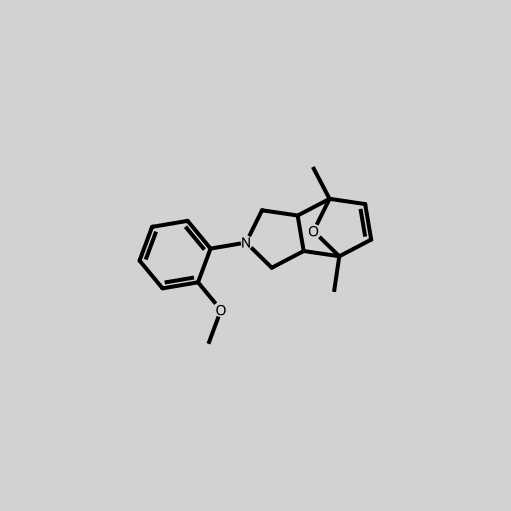 COc1ccccc1N1CC2C(C1)C1(C)C=CC2(C)O1